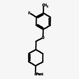 CCCCCC1C=CC(COc2ccc(C)c(F)c2)CC1